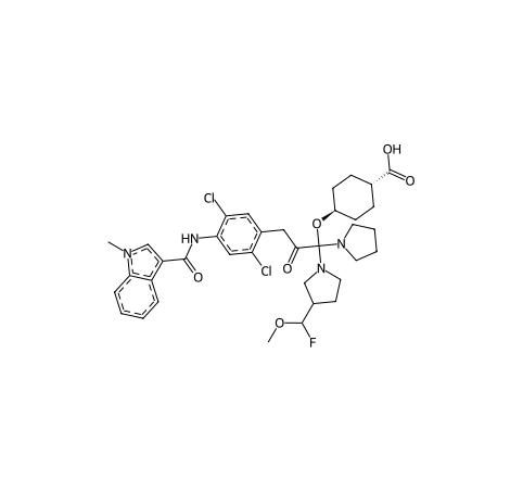 COC(F)C1CCN(C(O[C@H]2CC[C@H](C(=O)O)CC2)(C(=O)Cc2cc(Cl)c(NC(=O)c3cn(C)c4ccccc34)cc2Cl)N2CCCC2)C1